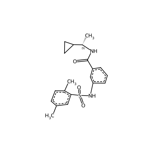 Cc1ccc(C)c(S(=O)(=O)Nc2cccc(C(=O)N[C@@H](C)C3CC3)c2)c1